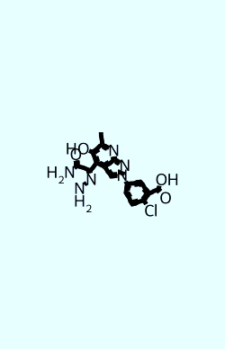 Cc1nc2nn(-c3ccc(Cl)c(C(=O)O)c3)cc2c(C(=NN)C(N)=O)c1O